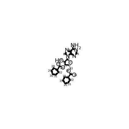 Nc1ncnc2c1ncn2[C@@H]1O[C@H](COC(=O)c2ccccc2)[C@@H](OC(=O)c2ccccc2)[C@H]1O